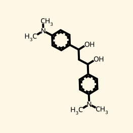 CN(C)c1ccc(C(O)CC(O)c2ccc(N(C)C)cc2)cc1